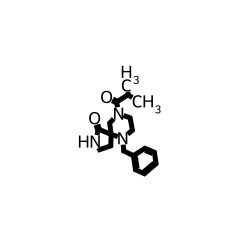 CC(C)C(=O)N1CCN(Cc2ccccc2)C2(CCNC2=O)C1